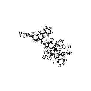 CCC[C@H](NC(=O)[C@@H]1C[C@@H](Oc2cc(-c3ccccc3)nc3cc(OC)ccc23)C=C1C(=O)N[C@@H](C(=O)NC(C(=O)OC)C1CCCCC1)C(C)(C)C)C(=O)O